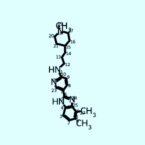 Cc1ccc2[nH]c(-c3ccc(NCCCC4CCN(C)CC4)nc3)nc2c1C